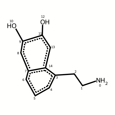 NCCc1cccc2cc(O)c(O)cc12